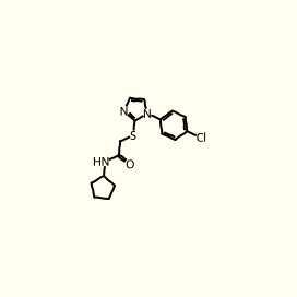 O=C(CSc1nccn1-c1ccc(Cl)cc1)NC1CCCC1